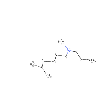 CCCN(C)CCCCC(C)C